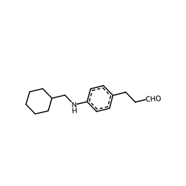 O=CCCc1ccc(NCC2CCCCC2)cc1